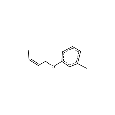 C/C=C\COc1cccc(C)c1